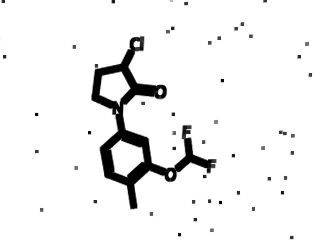 Cc1ccc(N2CCC(Cl)C2=O)cc1OC(F)F